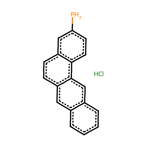 Cl.Pc1ccc2c(ccc3cc4ccccc4cc32)c1